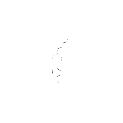 CCC=CC=CC1CCC(c2ccc(C#N)cc2)CC1